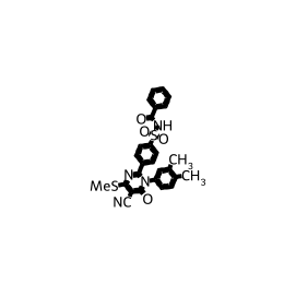 CSc1nc(-c2ccc(S(=O)(=O)NC(=O)c3ccccc3)cc2)n(-c2ccc(C)c(C)c2)c(=O)c1C#N